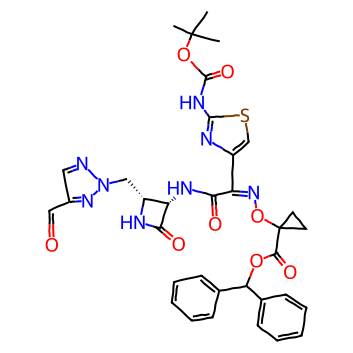 CC(C)(C)OC(=O)Nc1nc(C(=NOC2(C(=O)OC(c3ccccc3)c3ccccc3)CC2)C(=O)N[C@@H]2C(=O)N[C@@H]2Cn2ncc(C=O)n2)cs1